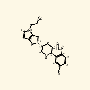 CC(=O)CCn1ncc2c1CN([C@H]1CO[C@H](c3cc(F)ccc3F)[C@@H](N)C1)C2